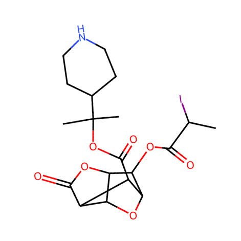 CC(I)C(=O)OC1C2OC(=O)C3C2OC1C3C(=O)OC(C)(C)C1CCNCC1